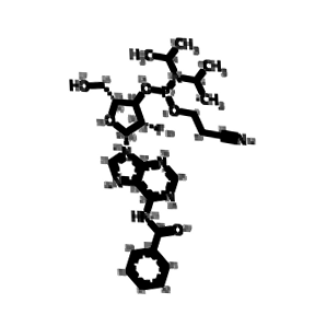 CC(C)N(C(C)C)P(OCCC#N)OC1[C@@H](CO)O[C@@H](n2cnc3c(NC(=O)c4ccccc4)ncnc32)[C@H]1F